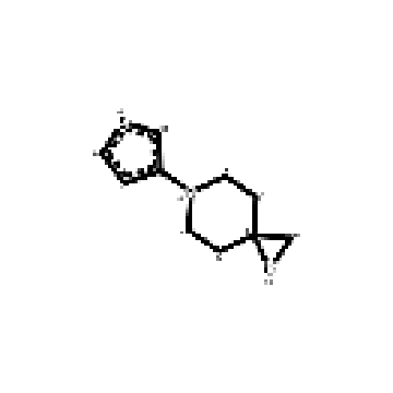 c1cc(N2CCC3(CC2)CO3)cs1